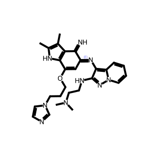 Cc1[nH]c2c(c1C)C(=N)/C(=N/c1c(NCCN(C)C)nn3ccccc13)C=C2OCCCn1ccnc1